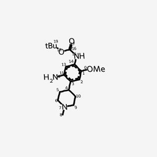 COc1cc(C2CCN(C)CC2)c(N)cc1NC(=O)OC(C)(C)C